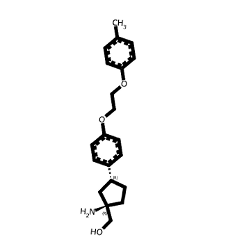 Cc1ccc(OCCOc2ccc([C@@H]3CC[C@](N)(CO)C3)cc2)cc1